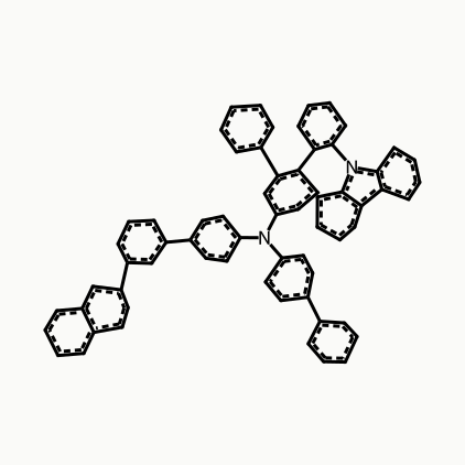 c1ccc(-c2ccc(N(c3ccc(-c4cccc(-c5ccc6ccccc6c5)c4)cc3)c3ccc(-c4ccccc4-n4c5ccccc5c5ccccc54)c(-c4ccccc4)c3)cc2)cc1